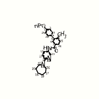 CCCc1ccc(-c2cc(C(=O)Nc3ccc(N4CCCCCC4)nc3)ccc2C)cc1